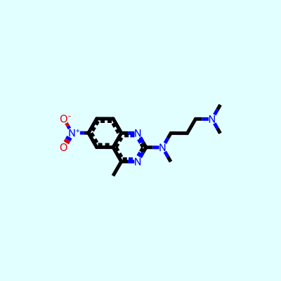 Cc1nc(N(C)CCCN(C)C)nc2ccc([N+](=O)[O-])cc12